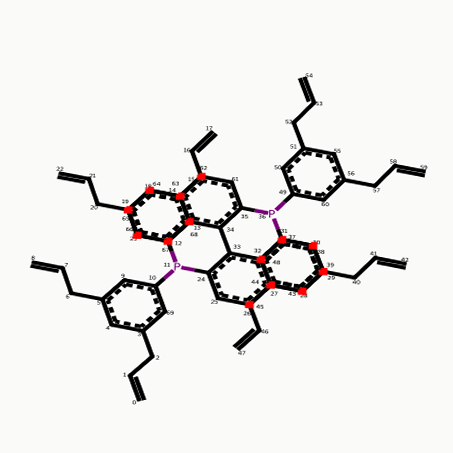 C=CCc1cc(CC=C)cc(P(c2cc(CC=C)cc(CC=C)c2)c2ccc3ccccc3c2-c2c(P(c3cc(CC=C)cc(CC=C)c3)c3cc(CC=C)cc(CC=C)c3)ccc3ccccc23)c1